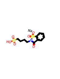 O=C1c2ccccc2S(=O)(=O)N1CCCCS(=O)(=O)O.[Na]